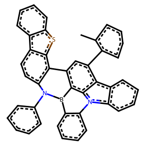 Cc1ccccc1-c1cc2c3c4c1c1ccccc1n4-c1ccccc1B3N(c1ccccc1)c1ccc3c(sc4ccccc43)c1-2